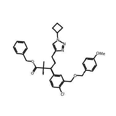 COc1ccc(COCc2cc(C(CCc3cn(C4CCC4)nn3)C(C)(C)C(=O)OCc3ccccc3)ccc2Cl)cc1